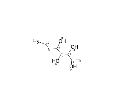 CC(O)C(O)C(O)C(O)CC[S]